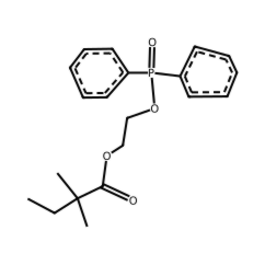 CCC(C)(C)C(=O)OCCOP(=O)(c1ccccc1)c1ccccc1